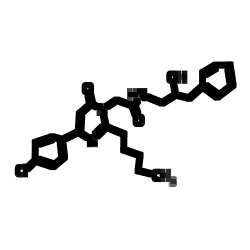 CCCCCc1nc(-c2ccc(Cl)cc2)cc(=O)n1CC(=O)NCC(O)Cc1ccccc1